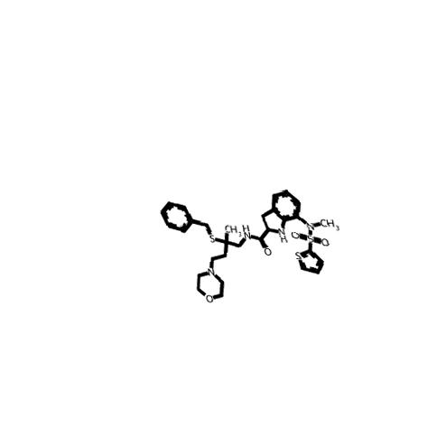 CN(c1cccc2c1NC(C(=O)NCC(C)(CCN1CCOCC1)SCc1ccccc1)C2)S(=O)(=O)c1cccs1